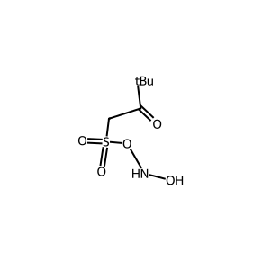 CC(C)(C)C(=O)CS(=O)(=O)ONO